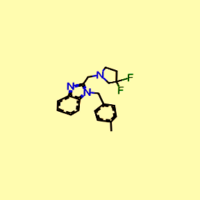 Cc1ccc(Cn2c(CN3CCC(F)(F)C3)nc3ccccc32)cc1